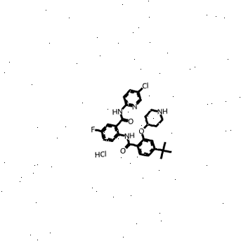 CC(C)(C)c1ccc(C(=O)Nc2ccc(F)cc2C(=O)Nc2ccc(Cl)cn2)c(OC2CCNCC2)c1.Cl